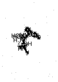 CCCCNC(=O)[C@@H](C[C@H](O)C(N)C[C@H](CNC(=O)c1ccccc1CCN1CCC(OC)CC1)C(C)C)C(C)C.Cl.Cl